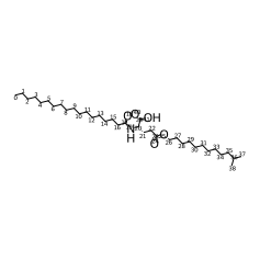 CCCCCCCCCCCCCCCCCC(=O)N[C@@H](CCC(=O)OCCCCCCCCCCC(C)C)C(=O)O